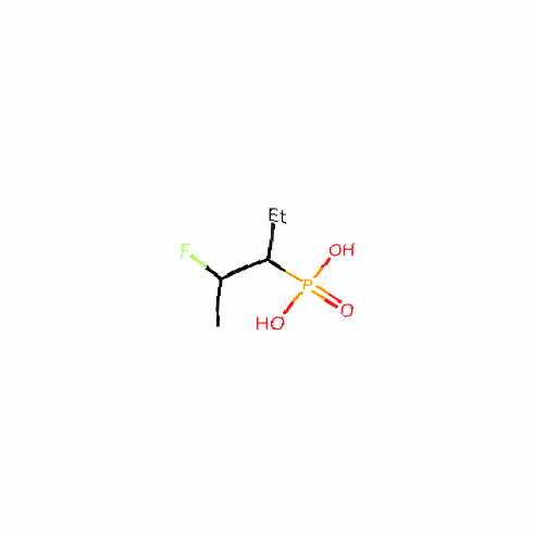 CCC(C(C)F)P(=O)(O)O